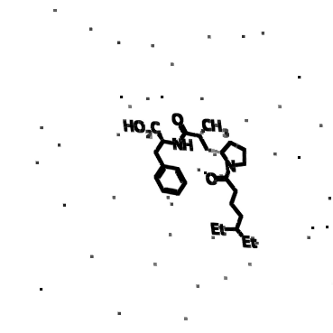 CCC(CC)CCCC(=O)N1CCC[C@H]1C[C@@H](C)C(=O)N[C@@H](Cc1ccccc1)C(=O)O